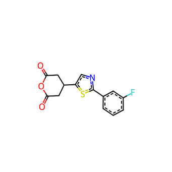 O=C1CC(c2cnc(-c3cccc(F)c3)s2)CC(=O)O1